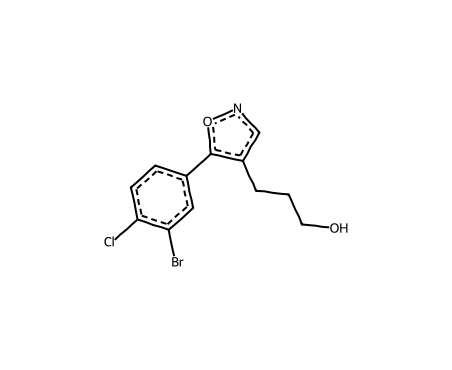 OCCCc1cnoc1-c1ccc(Cl)c(Br)c1